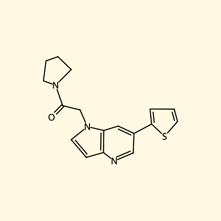 O=C(Cn1ccc2ncc(-c3cccs3)cc21)N1CCCC1